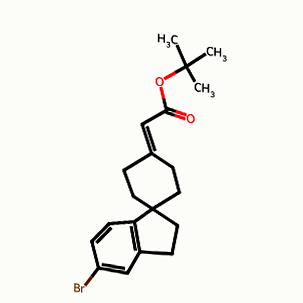 CC(C)(C)OC(=O)C=C1CCC2(CC1)CCc1cc(Br)ccc12